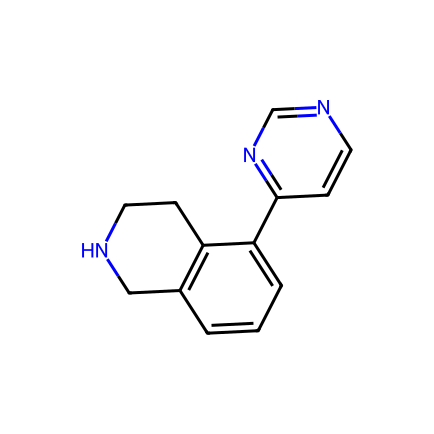 c1cc2c(c(-c3ccncn3)c1)CCNC2